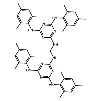 Cc1cc(C)c(Nc2nc(NCNc3nc(Nc4c(C)cc(C)cc4C)nc(Nc4c(C)cc(C)cc4C)n3)nc(Nc3c(C)cc(C)cc3C)n2)c(C)c1